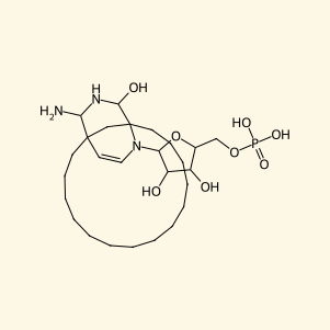 NC1NC(O)C23CCCCCCCCCCCCCCC1(C=CN2C1OC(COP(=O)(O)O)C(O)C1O)C3